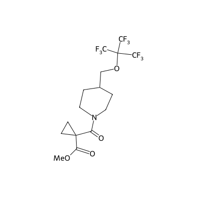 COC(=O)C1(C(=O)N2CCC(COC(C(F)(F)F)(C(F)(F)F)C(F)(F)F)CC2)CC1